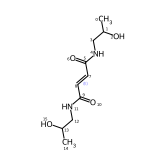 CC(O)CNC(=O)/C=C/C(=O)NCC(C)O